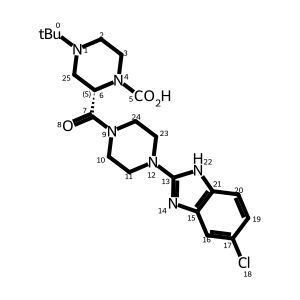 CC(C)(C)N1CCN(C(=O)O)[C@H](C(=O)N2CCN(c3nc4cc(Cl)ccc4[nH]3)CC2)C1